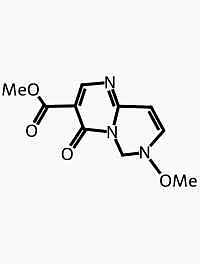 COC(=O)c1cnc2n(c1=O)CN(OC)C=C2